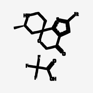 CCc1cc2c(s1)[C@]1(CCN[C@@H](C)C1)OCC2=O.O=C(O)C(F)(F)F